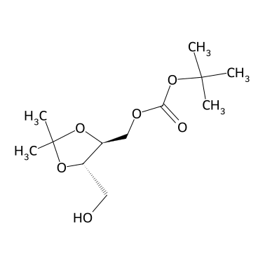 CC(C)(C)OC(=O)OC[C@@H]1OC(C)(C)O[C@H]1CO